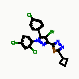 Clc1ccc(-c2c(Br)c(-c3nnc(C4CCC4)s3)nn2-c2ccc(Cl)cc2Cl)cc1